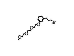 COCCOCCOCCOc1cccc(CCCBr)c1